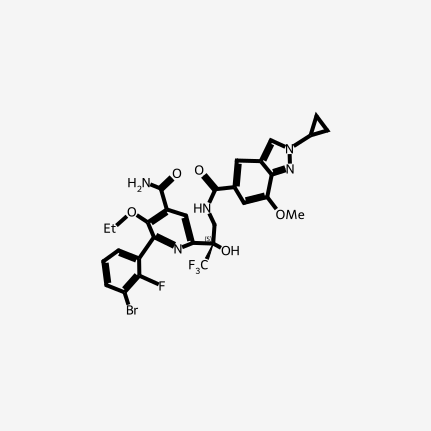 CCOc1c(C(N)=O)cc([C@@](O)(CNC(=O)c2cc(OC)c3nn(C4CC4)cc3c2)C(F)(F)F)nc1-c1cccc(Br)c1F